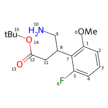 COc1cccc(F)c1C(CN)CC(=O)OC(C)(C)C